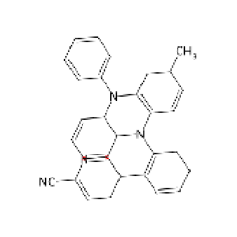 CC1C=CC2=C(C1)N(c1ccccc1)C1C=CC=CC1N2C1=C(C2C=NC(C#N)=CC2)C=CCC1